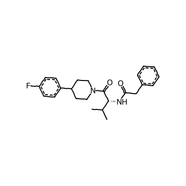 CC(C)[C@@H](NC(=O)Cc1ccccc1)C(=O)N1CCC(c2ccc(F)cc2)CC1